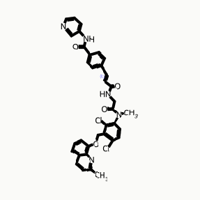 Cc1ccc2cccc(OCc3c(Cl)ccc(N(C)C(=O)CNC(=O)/C=C/c4ccc(C(=O)Nc5cccnc5)cc4)c3Cl)c2n1